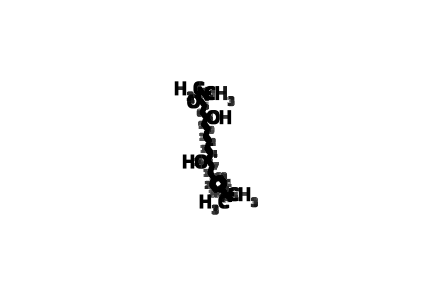 CN(C)C(=O)CCC(O)C=CC=CC=CC(O)CCc1ccc(N(C)C)cc1